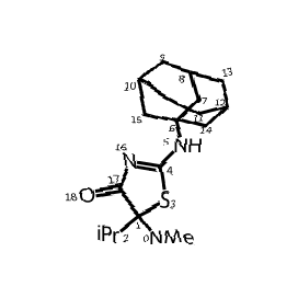 CNC1(C(C)C)SC(NC23CC4CC(CC(C4)C2)C3)=NC1=O